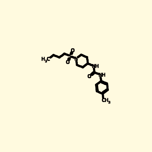 CCCCS(=O)(=O)N1CCC(NC(=O)Nc2ccc(C)cc2)CC1